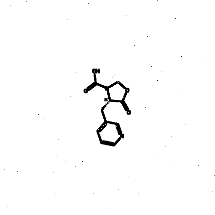 O=C1OCN(C(=O)O)[C@H]1Cc1cccnc1